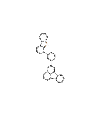 c1cc(-c2cc3c4c(cccc4c2)-c2ccccc2-3)cc(-c2cccc3c2sc2ccccc23)c1